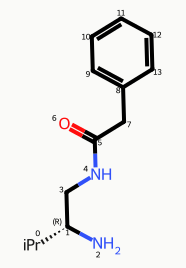 CC(C)[C@@H](N)CNC(=O)Cc1ccccc1